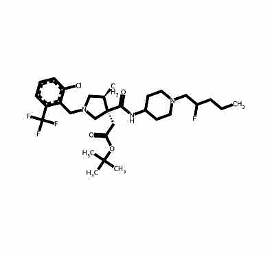 CCCC(F)CN1CCC(NC(=O)[C@@]2(CC(=O)OC(C)(C)C)CN(Cc3c(Cl)cccc3C(F)(F)F)C[C@H]2C)CC1